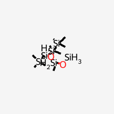 C[SiH2]O[SiH3].C[Si](C)(C)[SiH2]O[Si](C)(C)[Si](C)(C)C